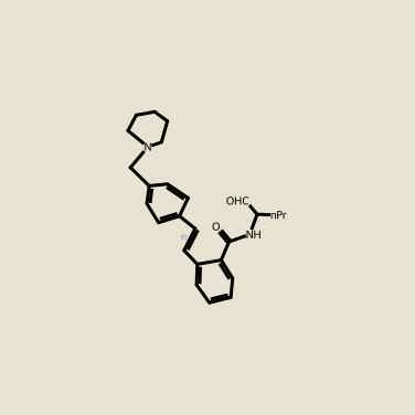 CCCC(C=O)NC(=O)c1ccccc1/C=C/c1ccc(CN2CCCCC2)cc1